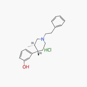 C[C@@H]1CN(CCc2ccccc2)CC[C@]1(C)c1cccc(O)c1.Cl